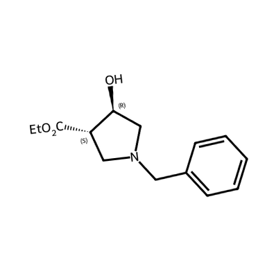 CCOC(=O)[C@H]1CN(Cc2ccccc2)C[C@@H]1O